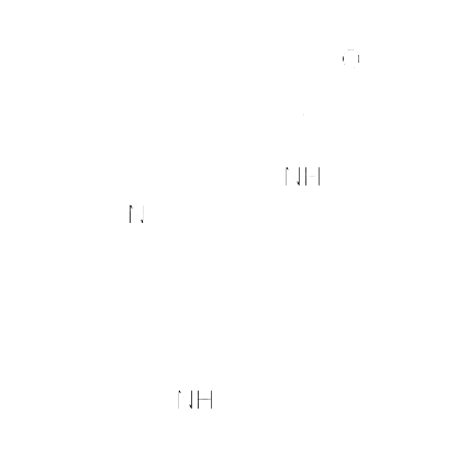 Nc1cnc2c(c1)NC(=O)CC2